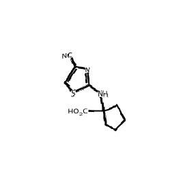 N#Cc1csc(NC2(C(=O)O)CCCC2)n1